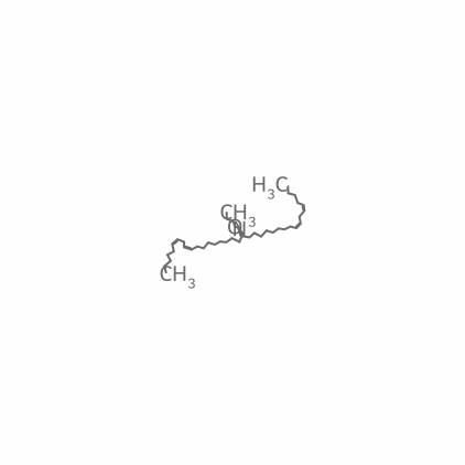 CCCCC/C=C\C/C=C\CCCCCCCCC(CCCCCCCC/C=C\C/C=C\CCCCC)=NOCCC